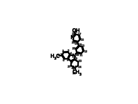 Cc1ccc2c(c1)c1c(n2-c2cccc(-c3ccc(O)nc3)c2)CCN(C)C1